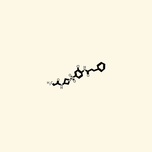 C=CC(=O)NC1CN(S(=O)(=O)c2ccc(NC(=O)CCc3ccccc3)c(Cl)c2)C1